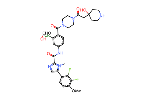 COc1ccc(-c2cnc(C(=O)Nc3ccc(C(=O)N4CCN(C(=O)CC5(O)CCNCC5)CC4)c(Cl)c3)n2C)c(F)c1F.O=CO